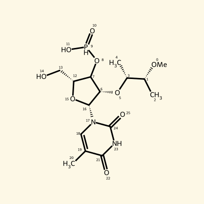 CO[C@H](C)[C@@H](C)O[C@H]1C(O[PH](=O)O)[C@@H](CO)O[C@H]1n1cc(C)c(=O)[nH]c1=O